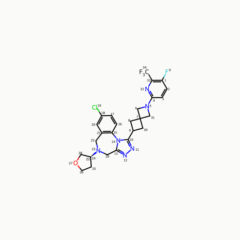 Fc1ccc(N2CC3(CC(c4nnc5n4-c4ccc(Cl)cc4CN([C@H]4CCOC4)C5)C3)C2)nc1C(F)(F)F